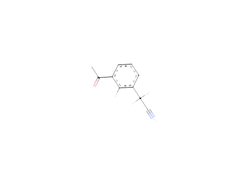 CC(=O)c1cccc(C(F)(F)C#N)c1F